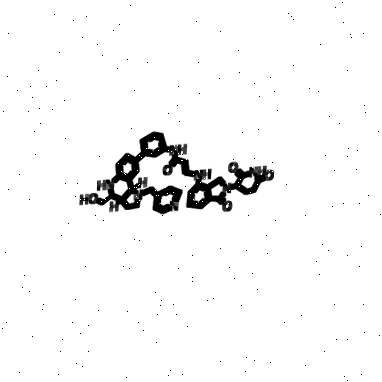 O=C(C=CNc1cccc2c1CN(C1CCC(=O)NC1=O)C2=O)Nc1cccc(-c2ccc3c(c2)[C@H]2[C@H](CCN2Cc2ccncc2)[C@@H](CO)N3)c1